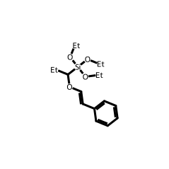 CCO[Si](OCC)(OCC)C(CC)OC=Cc1ccccc1